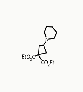 CCOC(=O)C1(C(=O)OCC)CC(N2CCCCC2)C1